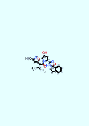 Cc1cc([C@H](C(=O)N2C[C@H](O)C[C@H]2C2=NO[C@@]3(CCc4ccccc43)N2)C(C)C)on1